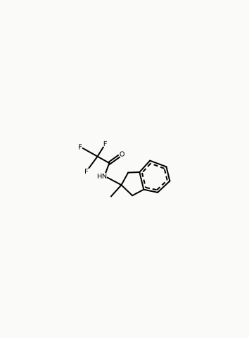 CC1(NC(=O)C(F)(F)F)Cc2ccccc2C1